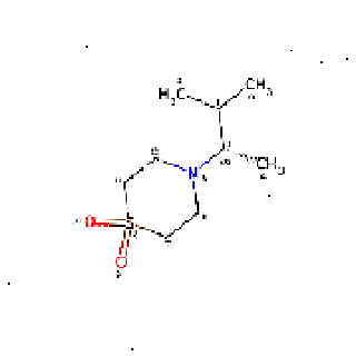 CC(C)[C@H](C)N1CCS(=O)(=O)CC1